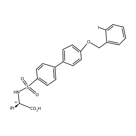 CC(C)[C@@H](NS(=O)(=O)c1ccc(-c2ccc(OCc3ccccc3I)cc2)cc1)C(=O)O